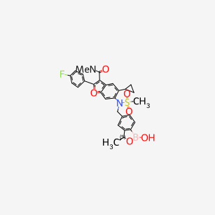 CNC(=O)c1c(-c2ccc(F)cc2)oc2cc(N(Cc3ccc4c(c3)[C@H](C)OB4O)S(C)(=O)=O)c(C3CC3)cc12